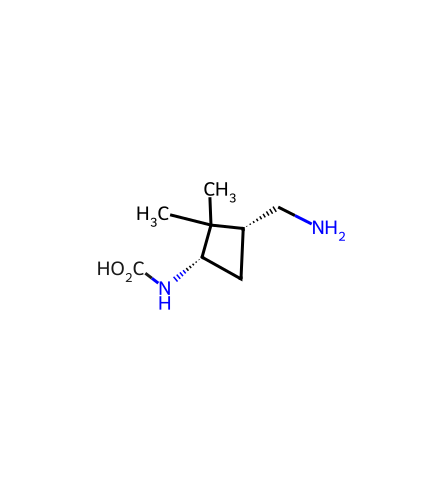 CC1(C)[C@H](CN)C[C@@H]1NC(=O)O